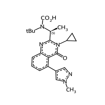 C[C@@H](c1nc2cccc(-c3cnn(C)c3)c2c(=O)n1C1CC1)N(C(=O)O)C(C)(C)C